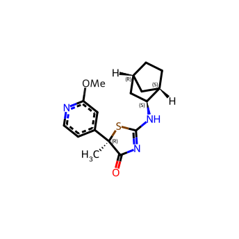 COc1cc([C@@]2(C)SC(N[C@H]3C[C@@H]4CC[C@H]3C4)=NC2=O)ccn1